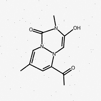 CC(=O)C1=CC(C)=CN2C(=O)N(C)C(O)=CN12